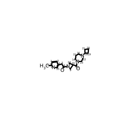 Cc1ccc(CC(=O)N2CC(C(=O)N3CCCN(C4CCC4)CC3)C2)cn1